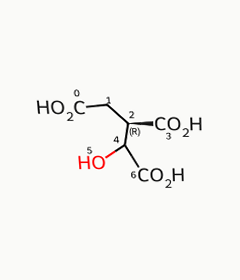 O=C(O)C[C@@H](C(=O)O)C(O)C(=O)O